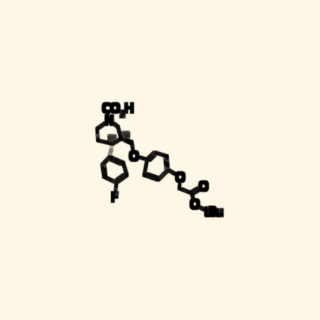 CC(C)(C)OC(=O)COc1ccc(OC[C@@H]2CN(C(=O)O)CC[C@H]2c2ccc(F)cc2)cc1